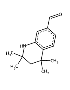 CC1(C)CC(C)(C)c2ccc(C=O)cc2N1